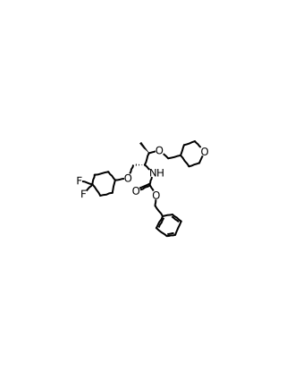 C[C@@H](OCC1CCOCC1)[C@@H](COC1CCC(F)(F)CC1)NC(=O)OCc1ccccc1